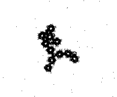 c1ccc(-c2ccc(N(c3ccc(-c4ccc5c(c4)C4(c6ccccc6-5)c5ccc6ccccc6c5Oc5c4ccc4ccccc54)cc3)c3ccc(-c4ccc5oc6ccccc6c5c4)cc3)cc2)cc1